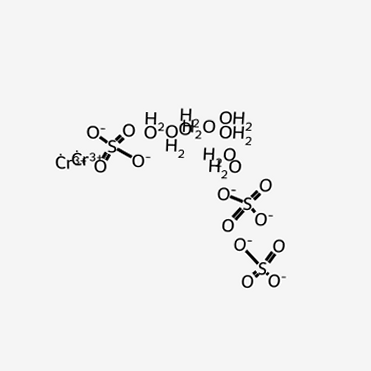 O.O.O.O.O.O.O.O.O=S(=O)([O-])[O-].O=S(=O)([O-])[O-].O=S(=O)([O-])[O-].[Cr+3].[Cr+3]